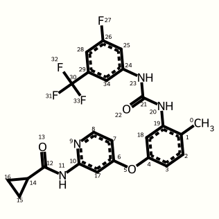 Cc1ccc(Oc2ccnc(NC(=O)C3CC3)c2)cc1NC(=O)Nc1cc(F)cc(C(F)(F)F)c1